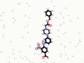 CC(=O)c1ccc(Nc2cccc(N3CCN(CC(=O)OCc4ccccc4)CC3)c2)c([N+](=O)[O-])c1